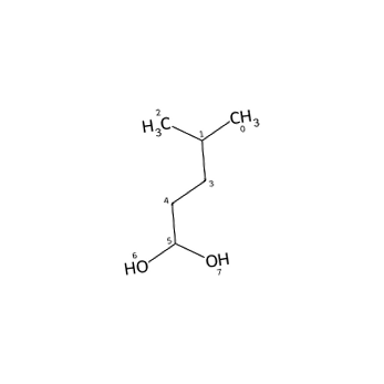 CC(C)CCC(O)O